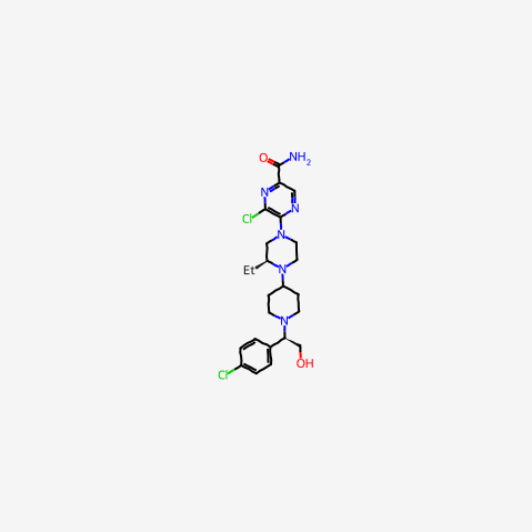 CC[C@H]1CN(c2ncc(C(N)=O)nc2Cl)CCN1C1CCN([C@@H](CO)c2ccc(Cl)cc2)CC1